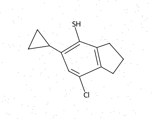 Sc1c(C2CC2)cc(Cl)c2c1CCC2